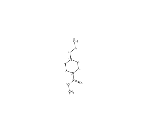 COC(=O)N1CCN(CCO)CC1